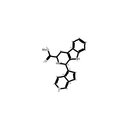 COC(=O)C1Cc2c([nH]c3ccccc23)C(c2ccc3coccc2-3)N1